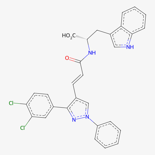 O=C(C=Cc1cn(-c2ccccc2)nc1-c1ccc(Cl)c(Cl)c1)N[C@@H](Cc1c[nH]c2ccccc12)C(=O)O